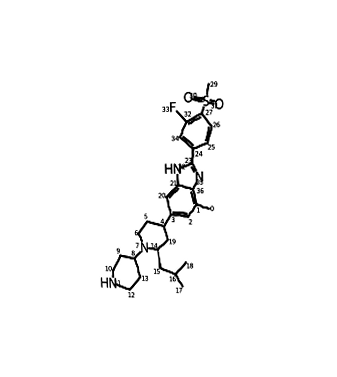 Cc1cc(C2CCN(C3CCNCC3)[C@H](CC(C)C)C2)cc2[nH]c(-c3ccc(S(C)(=O)=O)c(F)c3)nc12